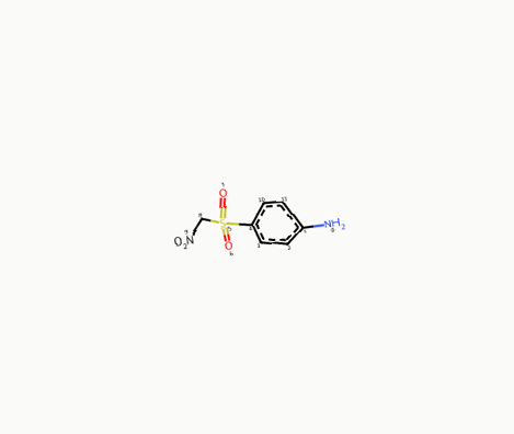 Nc1ccc(S(=O)(=O)C[N+](=O)[O-])cc1